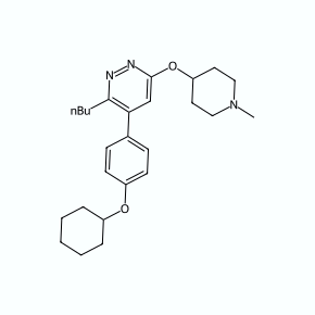 CCCCc1nnc(OC2CCN(C)CC2)cc1-c1ccc(OC2CCCCC2)cc1